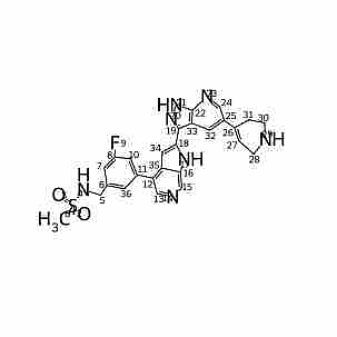 CS(=O)(=O)NCc1cc(F)cc(-c2cncc3[nH]c(-c4n[nH]c5ncc(C6=CCNCC6)cc45)cc23)c1